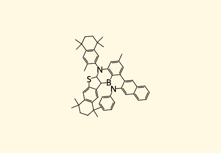 Cc1cc2c3c(c1)N(c1cc4c(cc1C)C(C)(C)CCC4(C)C)C1Sc4cc5c(cc4C1B3N(c1ccccc1)c1cc3ccccc3cc1-2)C(C)(C)CCC5(C)C